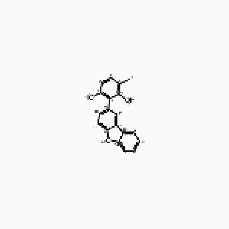 Oc1ccc(F)c(O)c1-c1ccc2oc3ccccc3c2c1